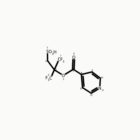 O=C(OC(CS(=O)(=O)O)(C(F)(F)F)C(F)(F)F)c1ccncc1